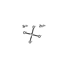 [O-][Ti]([O-])([O-])[O-].[Sr+2].[Zn+2]